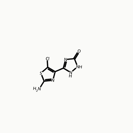 Nc1nc(-c2nc(=O)[nH][nH]2)c(Cl)s1